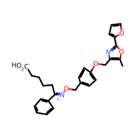 Cc1oc(-c2ccco2)nc1COc1ccc(CO/N=C(\CCCCC(=O)O)c2ccccc2)cc1